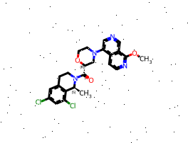 COc1nccc2c(N3CCO[C@@H](C(=O)N4CCc5cc(Cl)cc(Cl)c5[C@@H]4C)C3)cncc12